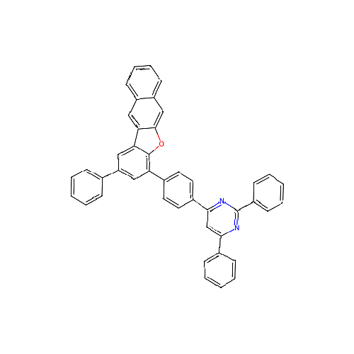 c1ccc(-c2cc(-c3ccc(-c4cc(-c5ccccc5)nc(-c5ccccc5)n4)cc3)c3oc4cc5ccccc5cc4c3c2)cc1